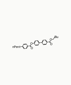 CCCCCc1ccc(C(=O)Oc2ccc(-c3ccc(C(=O)OCC(C)CC)cc3)cc2)cc1